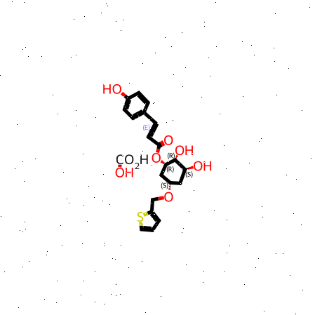 O=C(/C=C/c1ccc(O)cc1)O[C@@H]1C[C@@H](OCc2cccs2)C[C@H](O)[C@H]1O.O=C(O)O